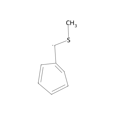 CS[CH]c1ccccc1